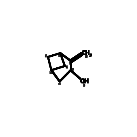 C=C1C(O)CC2CC1C2